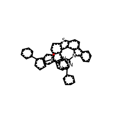 c1ccc(-c2cccc(-n3c4ccccc4c4c5c(ccc43)sc3ccc4c6ccccc6n(-c6nc(-c7ccccc7)nc(-c7ccccc7)n6)c4c35)c2)cc1